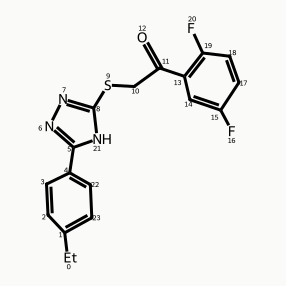 CCc1ccc(-c2nnc(SCC(=O)c3cc(F)ccc3F)[nH]2)cc1